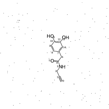 C#CCNC(=O)Cc1ccc(O)c(O)c1